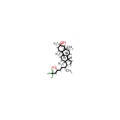 C[C@H](CC[C@@H](O)CC(F)(F)F)[C@H]1CC[C@H]2[C@@H]3CC[C@@]4(C)C[C@@](C)(O)CC[C@]4(C)[C@H]3CC[C@]12C